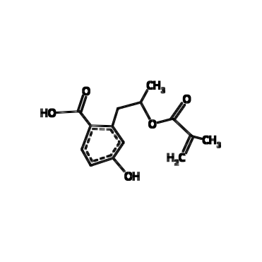 C=C(C)C(=O)OC(C)Cc1cc(O)ccc1C(=O)O